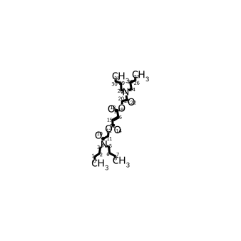 CCCCN(CCCC)C(=O)COC(=O)/C=C/C(=O)OCC(=O)N(CCCC)CCCC